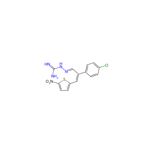 N=C(N)NN=CC(=Cc1ccc([N+](=O)[O-])s1)c1ccc(Cl)cc1